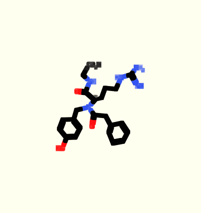 N=C(N)NCCC[C@H](C(=O)NCC(=O)O)N(Cc1ccc(O)cc1)C(=O)Cc1ccccc1